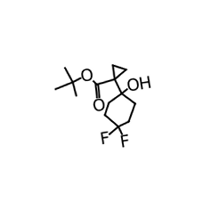 CC(C)(C)OC(=O)C1(C2(O)CCC(F)(F)CC2)CC1